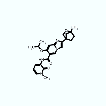 CC(C)Oc1cc2nc(C34CCC(C)(C3)OC4)cn2cc1C(=O)Nc1cccn(C)c1=O